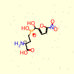 N[C@@H](CCP(=O)(O)C(O)c1ccc([N+](=O)[O-])o1)C(=O)O